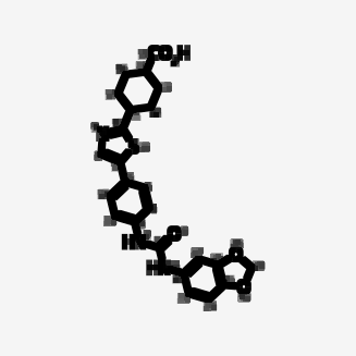 O=C(Nc1ccc(-c2cnc(C3CCC(C(=O)O)CC3)s2)cc1)Nc1ccc2c(c1)OCO2